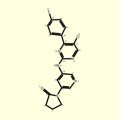 O=C1CCCN1c1cncc(Nc2ncc(Cl)c(-c3ccc(F)cc3)n2)c1